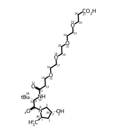 C[C@@H]1C[C@@H](O)CN1C(=O)[C@@H](NC(=O)CCOCCOCCOCCOCCC(=O)O)C(C)(C)C